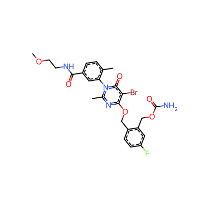 COCCNC(=O)c1ccc(C)c(-n2c(C)nc(OCc3ccc(F)cc3COC(N)=O)c(Br)c2=O)c1